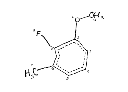 COc1[c]ccc(C)c1F